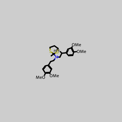 CCCC(CN(CCc1ccc(OC)c(OC)c1)C1(C)SCCCS1)c1ccc(OC)c(OC)c1